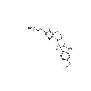 CCCN(C[C@H]1CCc2c(ccc(OCC(=O)O)c2C)S1)[SH](C)(=O)c1ccc(OC(F)(F)F)cc1